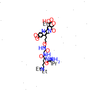 CCN(CC)CCCC[C@H](NC(=O)[C@@H](N)C(C)C)C(=O)NCC(=O)NCOCCCc1c2c(nc3cc4c(cc13)OCO4)-c1cc3c(c(=O)n1C2)COC(=O)[C@]3(O)CC